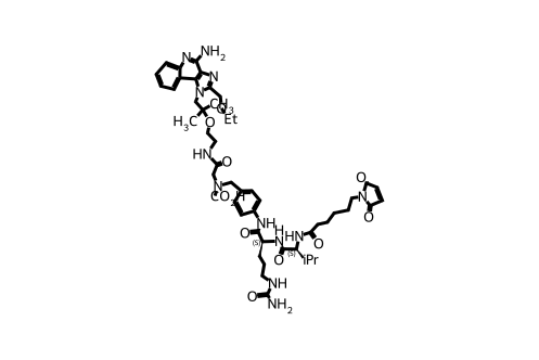 CCOCc1nc2c(N)nc3ccccc3c2n1CC(C)(C)OCCNC(=O)CN(Cc1ccc(NC(=O)[C@H](CCCNC(N)=O)NC(=O)[C@@H](NC(=O)CCCCCN2C(=O)C=CC2=O)C(C)C)cc1)C(=O)O